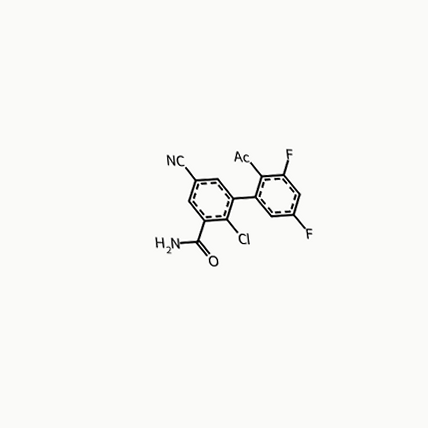 CC(=O)c1c(F)cc(F)cc1-c1cc(C#N)cc(C(N)=O)c1Cl